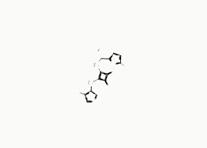 CC[C@@H](Nc1c(Nc2cscc2O)c(=O)c1=O)c1ccc(C)o1